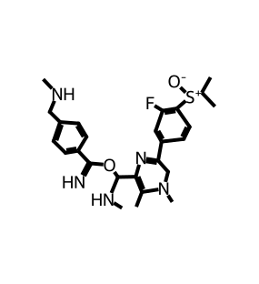 CNCc1ccc(C(=N)OC(NC)C2=C(C)N(C)CC(c3ccc([S+]([O-])C(C)C)c(F)c3)=N2)cc1